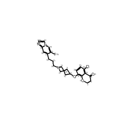 O=C1CCOc2c(OC3CC4(C3)CN(CCCc3cc5nncn5cc3F)C4)ccc(Cl)c21